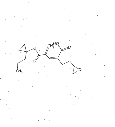 C=C(C=C(CCC1CO1)C(=O)O)C(=O)OC1(CCC)CC1